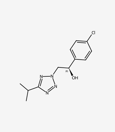 CC(C)c1nnn(C[C@H](O)c2ccc(Cl)cc2)n1